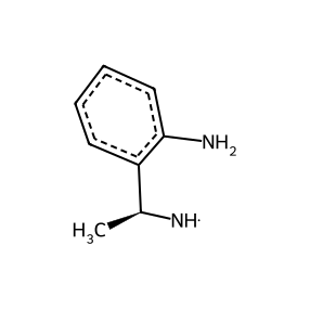 C[C@H]([NH])c1ccccc1N